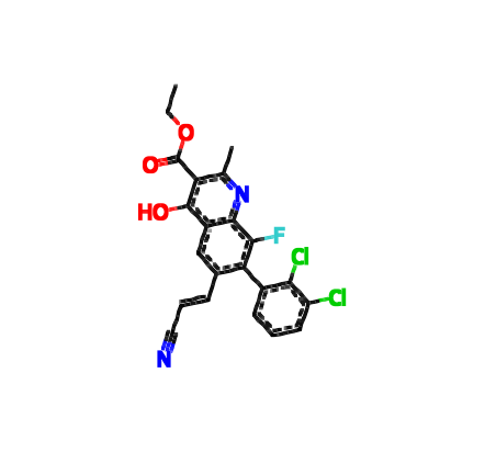 CCOC(=O)c1c(C)nc2c(F)c(-c3cccc(Cl)c3Cl)c(C=CC#N)cc2c1O